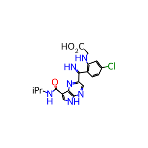 CC(C)NC(=O)c1c[nH]c2ncc(C(=N)c3ccc(Cl)cc3NCC(=O)O)nc12